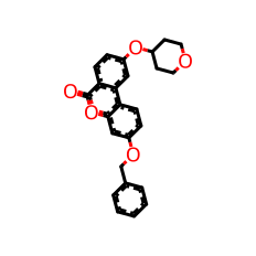 O=c1oc2cc(OCc3ccccc3)ccc2c2cc(OC3CCOCC3)ccc12